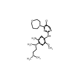 COc1cc(N(C)CCN(C)C)c(N)cc1Nc1ncc(Cl)c(N2CCCOCC2)n1